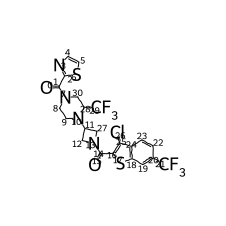 O=C(c1nccs1)N1CCN(C2CN(C(=O)c3sc4cc(C(F)(F)F)ccc4c3Cl)C2)C(C(F)(F)F)C1